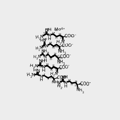 N=C(N)NCCC[C@H](N)C(=O)[O-].N=C(N)NCCC[C@H](N)C(=O)[O-].N=C(N)NCCC[C@H](N)C(=O)[O-].N=C(N)NCCC[C@H](N)C(=O)[O-].N=C(N)NCCC[C@H](N)C(=O)[O-].N=C(N)NCCC[C@H](N)C(=O)[O-].[Mo+6]